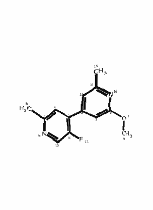 COc1cc(-c2cc(C)ncc2F)cc(C)n1